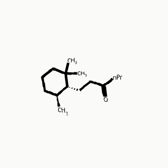 CCCC(=O)CC[C@@H]1[C@@H](C)CCCC1(C)C